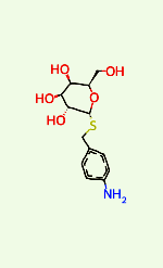 Nc1ccc(CS[C@H]2O[C@H](CO)[C@H](O)[C@H](O)[C@H]2O)cc1